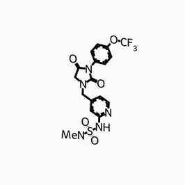 CNS(=O)(=O)Nc1cc(CN2CC(=O)N(c3ccc(OC(F)(F)F)cc3)C2=O)ccn1